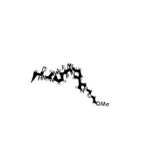 COCCOCn1cc(-c2ccc3nnc(C(F)(F)c4ccc5nc(NC(=O)C6CC6)cn5n4)n3c2)cn1